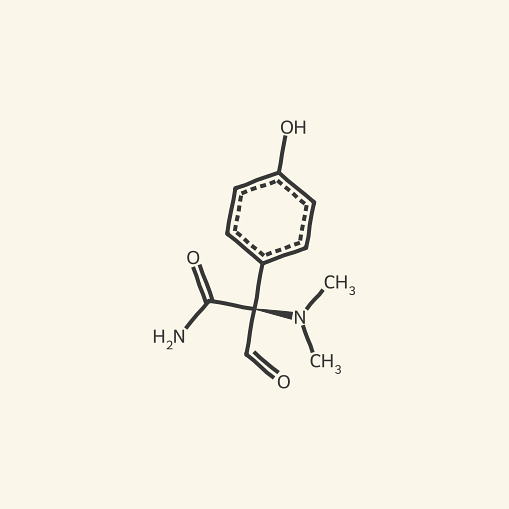 CN(C)[C@@](C=O)(C(N)=O)c1ccc(O)cc1